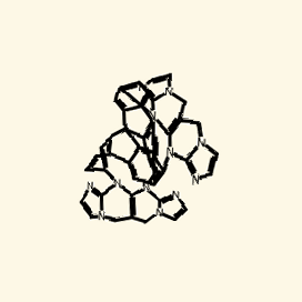 c1cn2c(n1)N1C3=C(C2)Cn2ccnc2N3c2ccc3c(c2)C24c5cc1ccc5-c1ccc(cc12)N1C2=C(Cn5ccnc51)Cn1ccnc1N2c1ccc-3c4c1